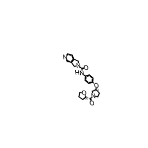 O=C(Nc1ccc(O[C@H]2CCN(C(=O)[C@@H]3CCCO3)C2)cc1)N1Cc2ccncc2C1